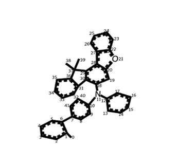 Cc1ccccc1-c1ccc(N(c2ccccc2)c2cc3oc4ccccc4c3c3c2-c2ccccc2C3(C)C)cc1